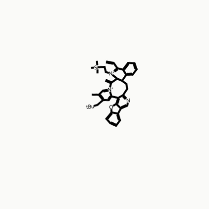 C=CC1=[N+](CC[Si](C)(C)C)C2C(=C)[n+]3cc(C)c(CC(C)(C)C)cc3-c3c(ncc4c3oc3ccccc34)CCC2c2ccccc21